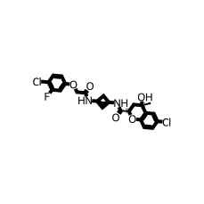 C[C@]1(O)C[C@H](C(=O)NC23CC(NC(=O)COc4ccc(Cl)c(F)c4)(C2)C3)Oc2ccc(Cl)cc21